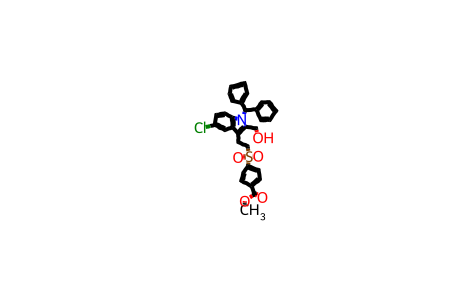 COC(=O)c1ccc(S(=O)(=O)CCc2c(CO)n(C(c3ccccc3)c3ccccc3)c3ccc(Cl)cc23)cc1